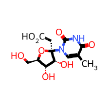 Cc1cn([C@]2(CC(=O)O)O[C@H](CO)[C@@H](O)[C@H]2O)c(=O)[nH]c1=O